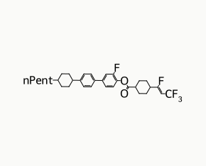 CCCCCC1CCC(c2ccc(-c3ccc(OC(=O)C4CCC(/C(F)=C/C(F)(F)F)CC4)c(F)c3)cc2)CC1